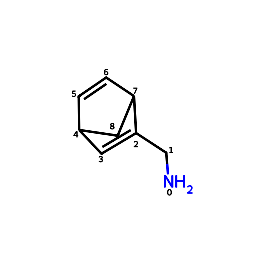 NCC1=CC2C=CC1C2